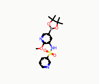 COc1ncc(B2OC(C)(C)C(C)(C)O2)cc1NS(=O)(=O)c1cccnc1